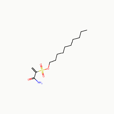 C=C(C(N)=O)S(=O)(=O)OCCCCCCCCCC